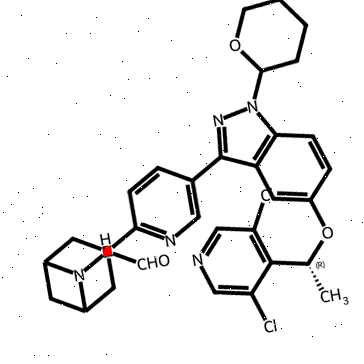 C[C@@H](Oc1ccc2c(c1)c(-c1ccc(N3CC4CC(C3)N4BC=O)nc1)nn2C1CCCCO1)c1c(Cl)cncc1Cl